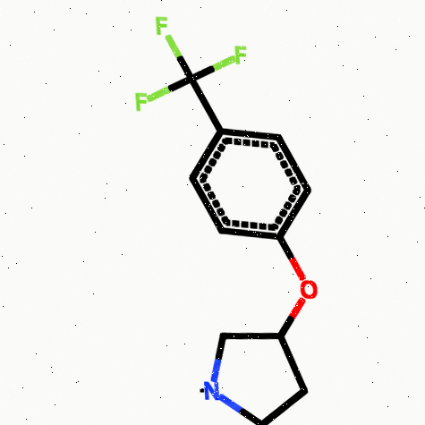 FC(F)(F)c1ccc(OC2CC[N]C2)cc1